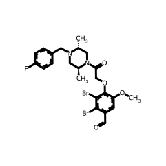 COc1cc(C=O)c(Br)c(Br)c1OCC(=O)N1C[C@@H](C)N(Cc2ccc(F)cc2)C[C@@H]1C